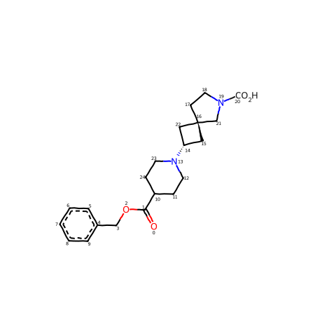 O=C(OCc1ccccc1)C1CCN([C@H]2C[C@]3(CCN(C(=O)O)C3)C2)CC1